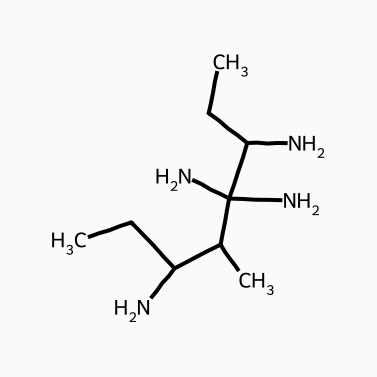 CCC(N)C(C)C(N)(N)C(N)CC